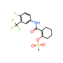 CS(=O)(=O)OC1=C(C(=O)Nc2ccc(F)c(C(F)(F)F)c2)CCCC1